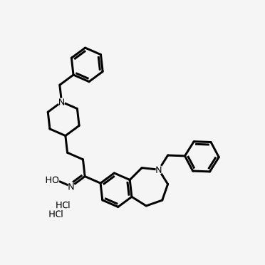 Cl.Cl.ON=C(CCC1CCN(Cc2ccccc2)CC1)c1ccc2c(c1)CN(Cc1ccccc1)CCC2